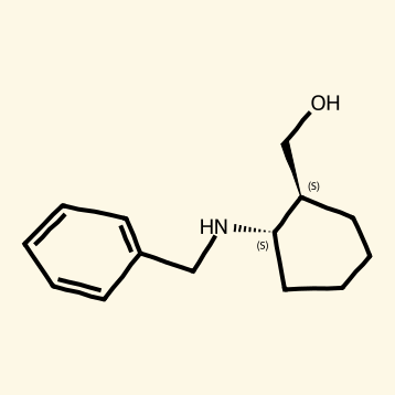 OC[C@H]1CCCC[C@@H]1NCc1ccccc1